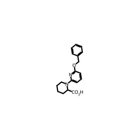 O=C(O)C1CCCCN1c1cccc(OCc2ccccc2)n1